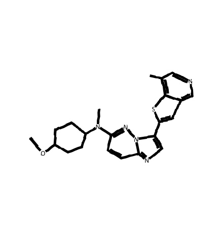 COC1CCC(N(C)c2ccc3ncc(-c4cc5cncc(C)c5s4)n3n2)CC1